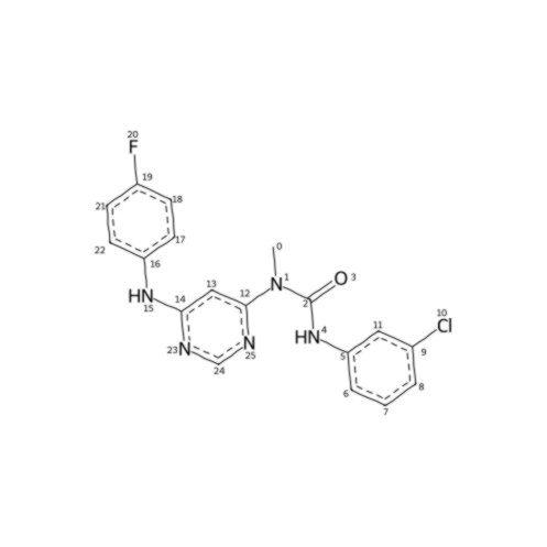 CN(C(=O)Nc1cccc(Cl)c1)c1cc(Nc2ccc(F)cc2)ncn1